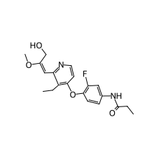 CCC(=O)Nc1ccc(Oc2ccnc(/C=C(\CO)OC)c2CC)c(F)c1